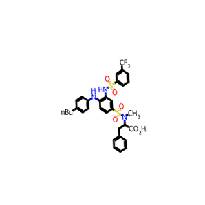 CCCCc1ccc(Nc2ccc(S(=O)(=O)N(C)C(Cc3ccccc3)C(=O)O)cc2NS(=O)(=O)c2cccc(C(F)(F)F)c2)cc1